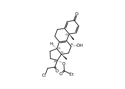 CCC(=O)O[C@]1(C(=O)CCl)CC[C@H]2C3=C([C@H](O)C[C@@]21C)[C@@]1(C)C=CC(=O)C=C1CC3